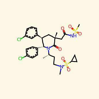 C[C@@H](CCN(C)S(=O)(=O)C1CC1)N1C(=O)[C@@](C)(CC(=O)NS(C)(=O)=O)C[C@H](c2cccc(Cl)c2)[C@H]1c1ccc(Cl)cc1